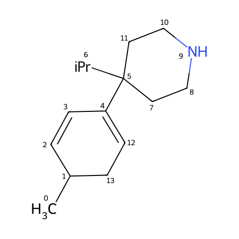 CC1C=CC(C2(C(C)C)CCNCC2)=CC1